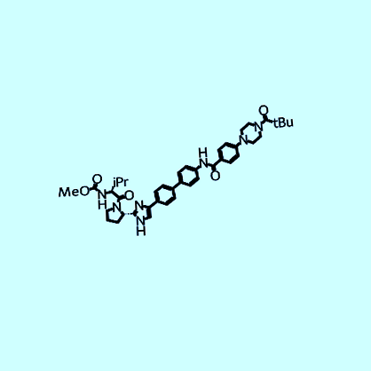 COC(=O)N[C@H](C(=O)N1CCC[C@H]1c1nc(-c2ccc(-c3ccc(NC(=O)c4ccc(N5CCN(C(=O)C(C)(C)C)CC5)cc4)cc3)cc2)c[nH]1)C(C)C